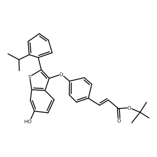 CC(C)c1ccccc1-c1sc2cc(O)ccc2c1Oc1ccc(C=CC(=O)OC(C)(C)C)cc1